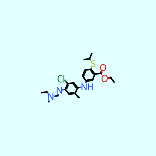 CCOC(=O)c1cc(Nc2cc(Cl)c(N=CN(C)CC)cc2C)ccc1SC(C)C